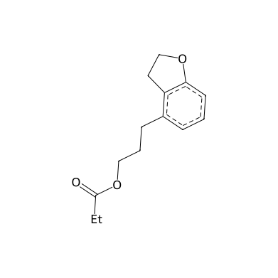 CCC(=O)OCCCc1cccc2c1CCO2